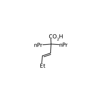 CC/C=C/C(CCC)(CCC)C(=O)O